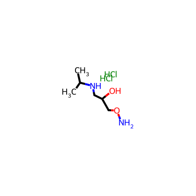 CC(C)NCC(O)CON.Cl.Cl